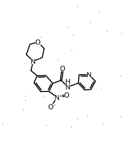 O=C(Nc1cccnc1)c1cc(CN2CCOCC2)ccc1[N+](=O)[O-]